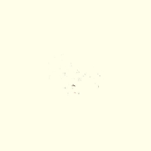 C#Cc1c(F)ccc2cc(O)cc(-c3ncc4c(N5C[C@H]6CC[C@@H](C5)C6O)nc(OC[C@@]56CCCN5C[C@H](F)C6)nc4c3F)c12